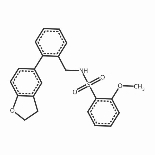 COc1ccccc1S(=O)(=O)NCc1ccccc1-c1ccc2c(c1)CCO2